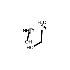 CC(C)CO.CC(C)O.N.O